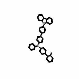 CC1C=CC=CC1C1C=CC(N(c2ccccc2)c2ccc(-c3ccc(N4c5ccccc5C5C=CC=CC54)cc3)cc2)=CC1